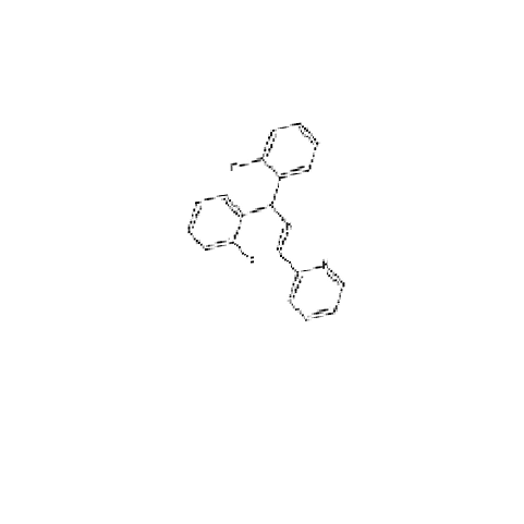 Fc1ccccc1C(/N=C/c1ccccn1)c1ccccc1F